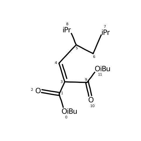 CC(C)COC(=O)C(=CC(CC(C)C)C(C)C)C(=O)OCC(C)C